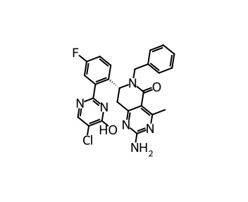 Cc1nc(N)nc2c1C(=O)N(Cc1ccccc1)[C@@H](c1ccc(F)cc1-c1ncc(Cl)c(O)n1)C2